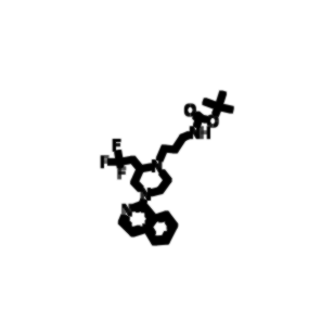 CC(C)(C)OC(=O)NCCCN1CCN(c2nccc3ccccc23)CC1CC(F)(F)F